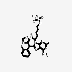 CC(CCCCOS(N)(=O)=O)n1c(C(C2=COCO2)c2ccccc2I)nc2c(N)nc(F)nc21